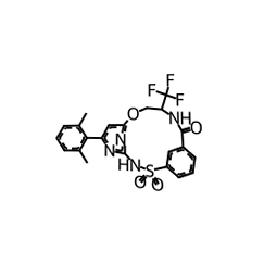 Cc1cccc(C)c1-c1cc2nc(n1)NS(=O)(=O)c1cccc(c1)C(=O)NC(C(F)(F)F)CO2